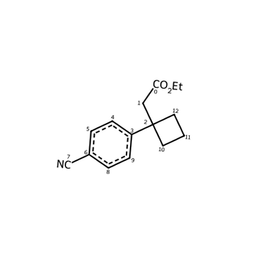 CCOC(=O)CC1(c2ccc(C#N)cc2)CCC1